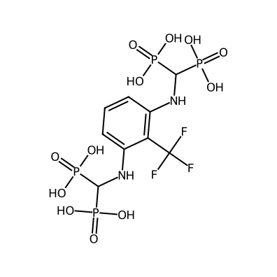 O=P(O)(O)C(Nc1cccc(NC(P(=O)(O)O)P(=O)(O)O)c1C(F)(F)F)P(=O)(O)O